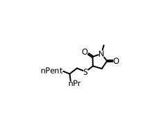 CCCCCC(CCC)CSC1CC(=O)N(C)C1=O